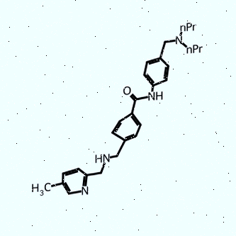 CCCN(CCC)Cc1ccc(NC(=O)c2ccc(CNCc3ccc(C)cn3)cc2)cc1